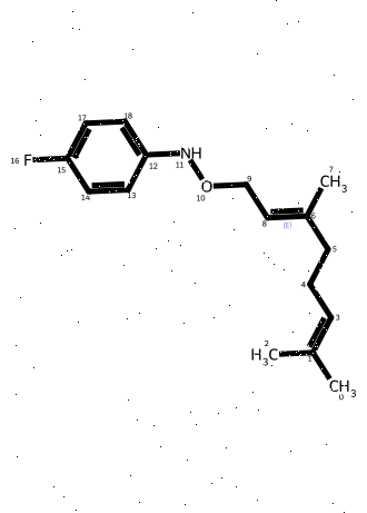 CC(C)=CCC/C(C)=C/CONc1ccc(F)cc1